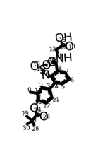 Cc1cc(-c2cccc(C(=O)NCC(=O)O)c2N=S(=O)=O)ccc1OC(=O)C(C)(C)C